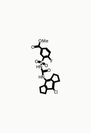 COC(=O)c1ccc(F)c(S(=O)(=O)NC(=O)Nc2c3c(c(Cl)c4c2CCC4)CCC3)c1